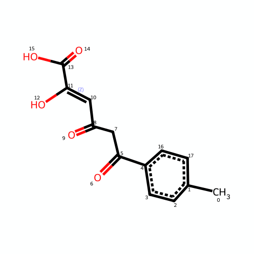 Cc1ccc(C(=O)CC(=O)/C=C(\O)C(=O)O)cc1